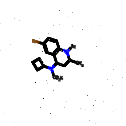 CC(=O)N1c2ccc(Br)cc2C(N(C(=O)O)C2CCC2)CC1C